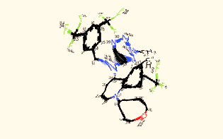 Cc1cc2c(cc1C(F)(F)F)N(C1CCOCC1)CCC[C@@H]2N(Cc1cc(C(F)(F)F)cc(C(F)(F)F)c1)c1nnn(C)n1